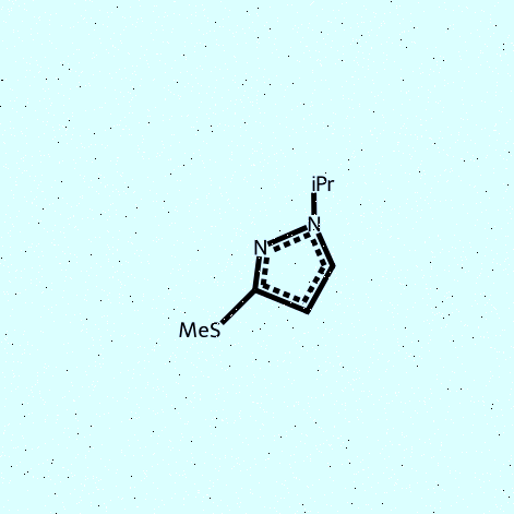 CSc1ccn(C(C)C)n1